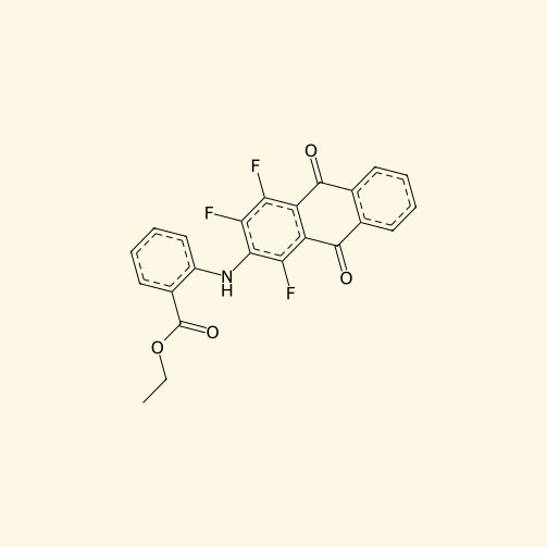 CCOC(=O)c1ccccc1Nc1c(F)c(F)c2c(c1F)C(=O)c1ccccc1C2=O